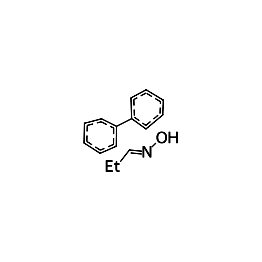 CCC=NO.c1ccc(-c2ccccc2)cc1